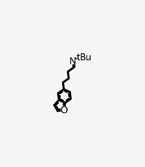 CC(C)(C)N=CCCCc1ccc2occc2c1